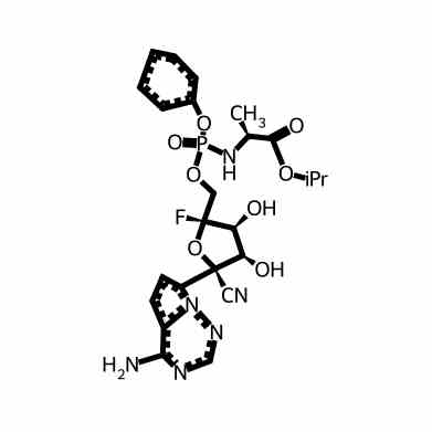 CC(C)OC(=O)[C@H](C)NP(=O)(OC[C@@]1(F)O[C@@](C#N)(c2ccc3c(N)ncnn23)[C@H](O)[C@@H]1O)Oc1ccccc1